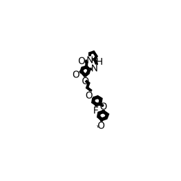 COc1ccc(Oc2ccc(OCCCOc3cc4c(cc3OC)C(=O)N3CCC[C@H]3C=N4)cc2F)cc1